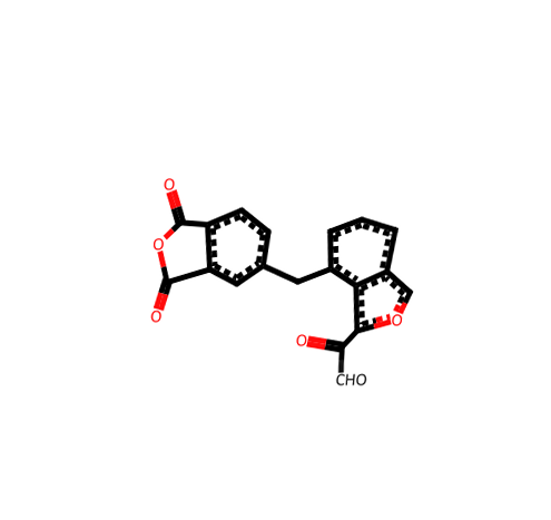 O=CC(=O)c1occ2cccc(Cc3ccc4c(c3)C(=O)OC4=O)c12